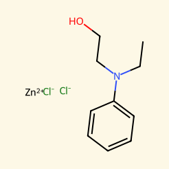 CCN(CCO)c1ccccc1.[Cl-].[Cl-].[Zn+2]